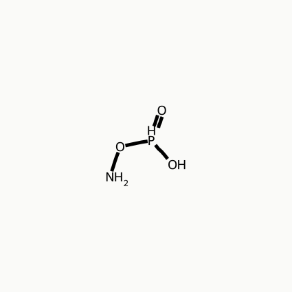 NO[PH](=O)O